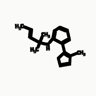 CC=CC(C)(C)Nc1ccccc1C1=C(C)C=CC1